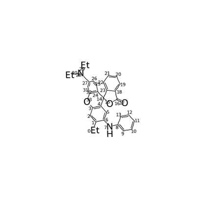 CCc1cc2c(cc1Nc1ccccc1)C1(OC(=O)c3ccccc31)c1ccc(N(CC)CC)cc1O2